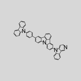 c1ccc2c(c1)c1ccccc1n2-c1ccc(-c2ccc3c(c2)c2cccc4c5cc(-n6c7ccccc7c7cnccc76)ccc5n3c24)cc1